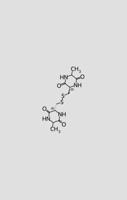 CC1NC(=O)[C@H](CSSC[C@@H]2NC(=O)C(C)NC2=O)NC1=O